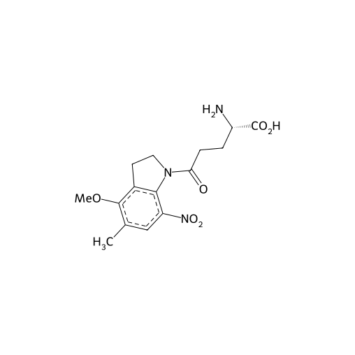 COc1c(C)cc([N+](=O)[O-])c2c1CCN2C(=O)CC[C@H](N)C(=O)O